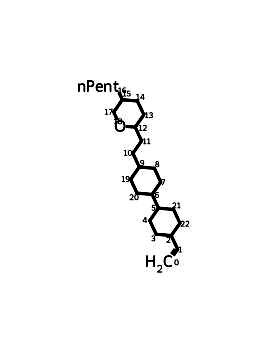 C=CC1CCC(C2CCC(CCC3CCC(CCCCC)CO3)CC2)CC1